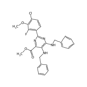 COC(=O)c1nc(-c2ccc(Cl)c(OC)c2F)nc(NCc2ccccc2)c1NCc1ccccc1